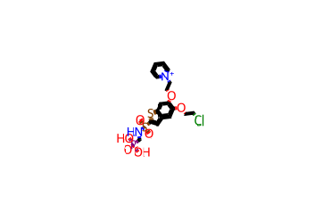 O=P(O)(O)CNS(=O)(=O)c1cc2cc(OCCCl)c(OCC[n+]3ccccc3)cc2s1